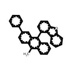 Cc1c2ccccc2c(-c2cccc3oc4ccccc4c23)c2cc(-c3ccccc3)ccc12